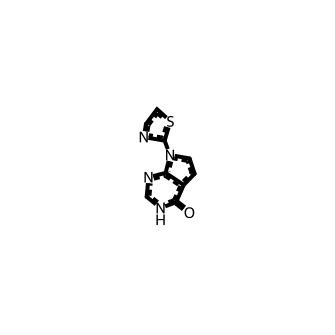 O=c1[nH]cnc2c1ccn2-c1nccs1